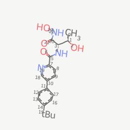 C[C@@H](O)[C@H](NC(=O)c1ccc(-c2ccc(C(C)(C)C)cc2)cn1)C(=O)NO